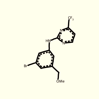 COCc1cc(Br)cc(Nc2nccc(C(F)(F)F)n2)c1